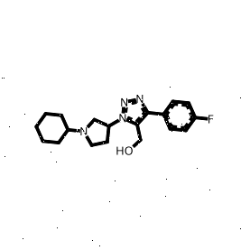 OCc1c(-c2ccc(F)cc2)nnn1C1CCN(C2CCCCC2)C1